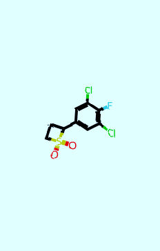 O=S1(=O)C[CH]C1c1cc(Cl)c(F)c(Cl)c1